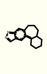 C1=NN=c2cc3c(cc21)=C1CCCCC1CCC3